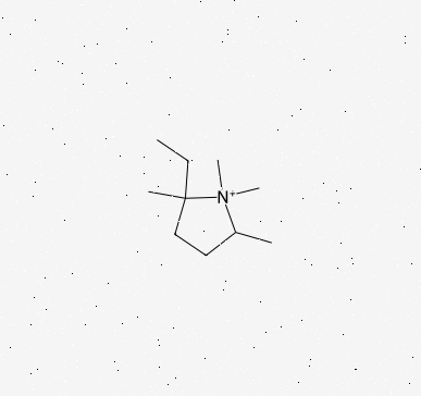 CCC1(C)CCC(C)[N+]1(C)C